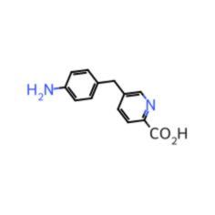 Nc1ccc(Cc2ccc(C(=O)O)nc2)cc1